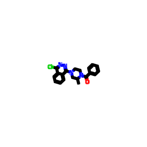 CC1CN(c2nnc(Cl)c3ccccc23)CCN1C(=O)c1ccccc1